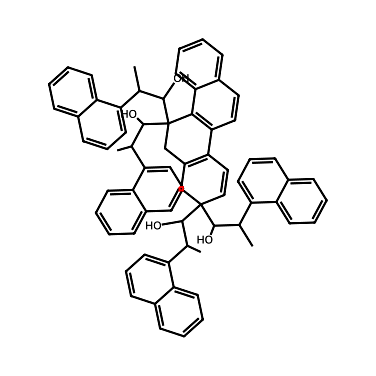 CC(c1cccc2ccccc12)C(O)C1(C(O)C(C)c2cccc3ccccc23)C=CC2=C(C1)CC(C(O)C(C)c1cccc3ccccc13)(C(O)C(C)c1cccc3ccccc13)c1c2ccc2ccccc12